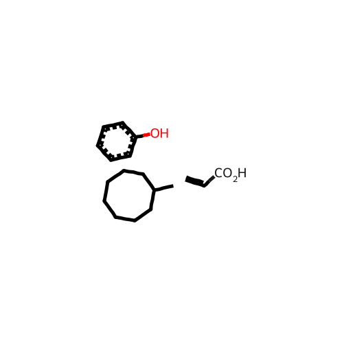 C=CC(=O)O.CC1CCCCCCC1.Oc1ccccc1